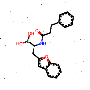 O=C(CCc1ccccc1)N[C@@H](Cc1cc2ccccc2o1)B(O)O